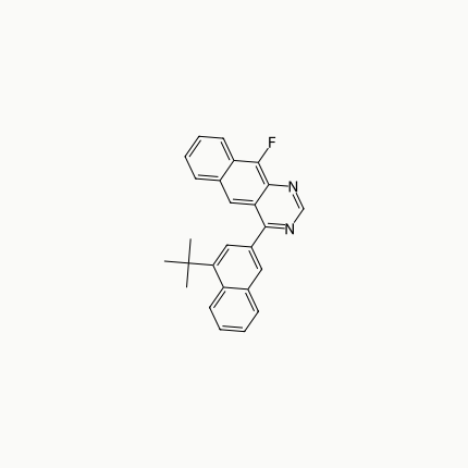 CC(C)(C)c1cc(-c2ncnc3c(F)c4ccccc4cc23)cc2ccccc12